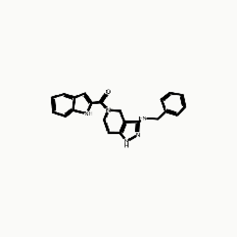 O=C(c1cc2ccccc2[nH]1)N1CCc2[nH]nc(NCc3ccccc3)c2C1